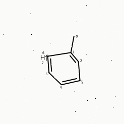 Cc1c[c]ccc1.[Hf]